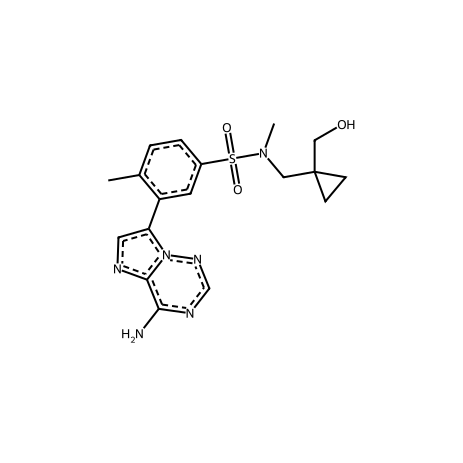 Cc1ccc(S(=O)(=O)N(C)CC2(CO)CC2)cc1-c1cnc2c(N)ncnn12